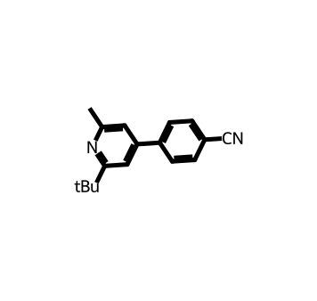 Cc1cc(-c2ccc(C#N)cc2)cc(C(C)(C)C)n1